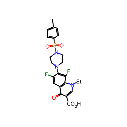 CCn1cc(C(=O)O)c(=O)c2cc(F)c(N3CCN(S(=O)(=O)c4ccc(C)cc4)CC3)c(F)c21